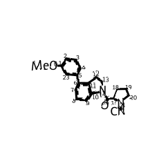 COc1cccc(-c2cccc3c2CCN3C(=O)C2CCCN2C#N)c1